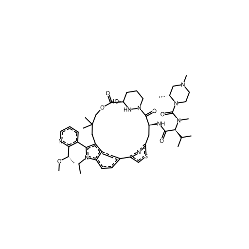 CCn1c(-c2cccnc2[C@H](C)OC)c2c3cc(ccc31)-c1csc(n1)C[C@H](NC(=O)[C@H](C(C)C)N(C)C(=O)N1CCN(C)C[C@H]1C)C(=O)N1CCC[C@@](O)(N1)C(=O)OCC(C)(C)C2